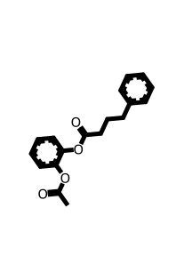 CC(=O)Oc1ccccc1OC(=O)CCCc1ccccc1